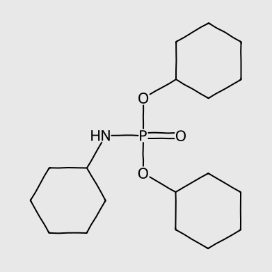 O=P(NC1CCCCC1)(OC1CCCCC1)OC1CCCCC1